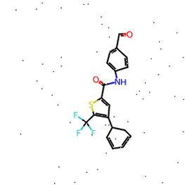 O=Cc1ccc(NC(=O)c2cc(C3C=CC=CC3)c(C(F)(F)F)s2)cc1